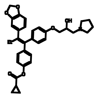 CC/C(=C(/c1ccc(OCC(O)CN2CCCC2)cc1)c1ccc(OC(=O)C2CC2)cc1)c1ccc2c(c1)OCO2